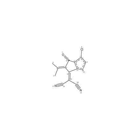 CC(C)=C1C(=O)c2c(Cl)csc2C1=C(C#N)C#N